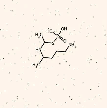 CC(CCCN)NC(C)SP(=O)(O)O